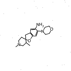 CC1CN(C)CCC12Cc1cc(N)c(N3CCOCC3)cc1O2